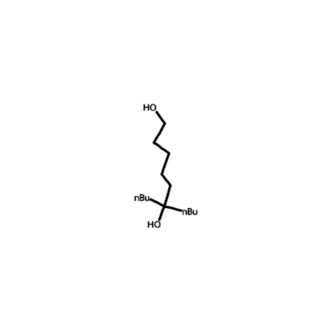 CCCCC(O)(CCCC)CCCCCO